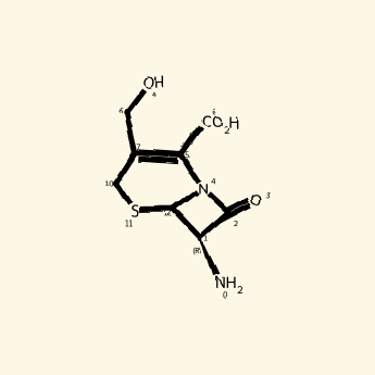 N[C@@H]1C(=O)N2C(C(=O)O)=C(CO)CSC12